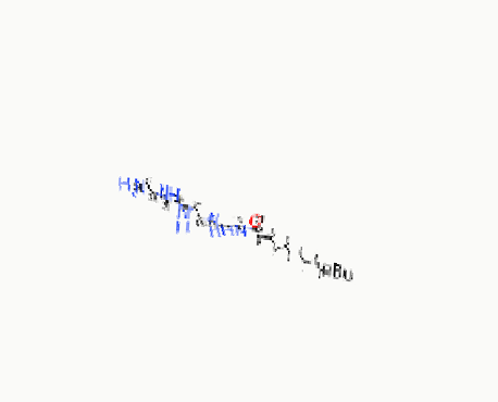 CCCCC=CCCCCCCCC(=O)NCCNCCNCCNCCN